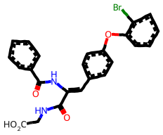 O=C(O)CNC(=O)C(=Cc1ccc(Oc2ccccc2Br)cc1)NC(=O)c1ccccc1